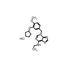 CCNc1ncn(Cc2ccc(OC)c(OC3CCCC3)c2)c2ncnc1-2.Cl